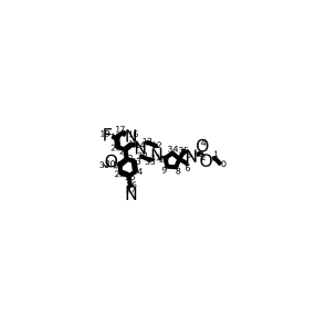 CCOC(=O)N1CC2(CC[C@@H](N3CCN(c4ncc(F)cc4-c4ccc(C#N)cc4OC)CC3)C2)C1